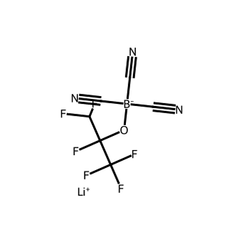 N#C[B-](C#N)(C#N)OC(F)(C(F)F)C(F)(F)F.[Li+]